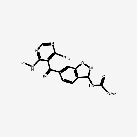 COC(=O)NC1NOc2cc(C(=N)c3c(N)ncnc3NC(C)C)ccc21